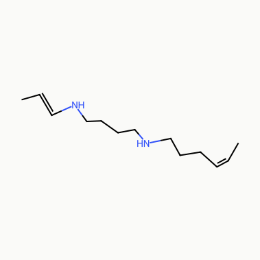 C/C=C\CCCNCCCCN/C=C/C